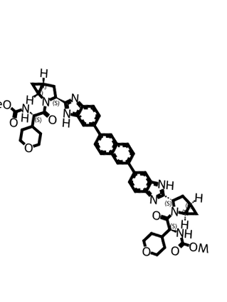 COC(=O)N[C@H](C(=O)N1[C@@H]2C[C@@H]2C[C@H]1c1nc2ccc(-c3ccc4cc(-c5ccc6nc([C@@H]7C[C@H]8C[C@H]8N7C(=O)[C@@H](NC(=O)OC)C7CCOCC7)[nH]c6c5)ccc4c3)cc2[nH]1)C1CCOCC1